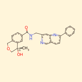 C[C@@]1(O)COCc2ccc(C(=O)NCc3cc4nc(-c5ccccc5)ccc4cn3)cc21